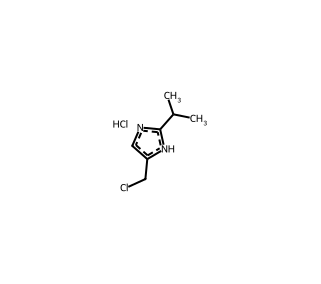 CC(C)c1ncc(CCl)[nH]1.Cl